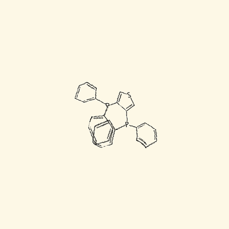 c1ccc(P(c2ccccc2)c2cscc2P(c2ccccc2)c2ccccc2)cc1